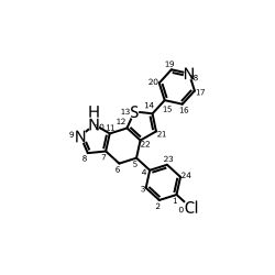 Clc1ccc(C2Cc3cn[nH]c3-c3sc(-c4ccncc4)cc32)cc1